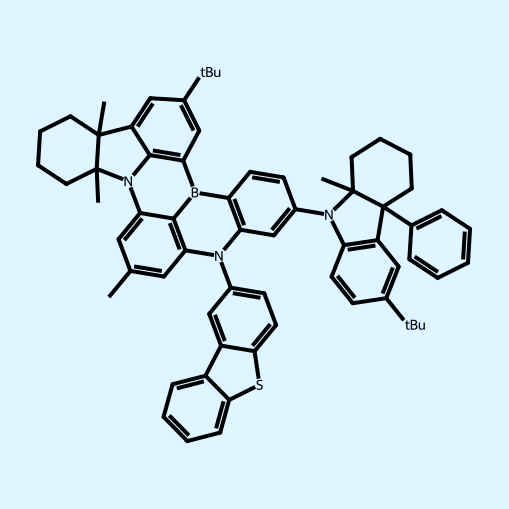 Cc1cc2c3c(c1)N1c4c(cc(C(C)(C)C)cc4C4(C)CCCCC14C)B3c1ccc(N3c4ccc(C(C)(C)C)cc4C4(c5ccccc5)CCCCC34C)cc1N2c1ccc2sc3ccccc3c2c1